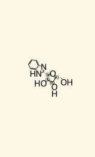 OC[C@H]1O[C@@H](c2nc3ccccc3[nH]2)[C@@H](O)[C@H]1O